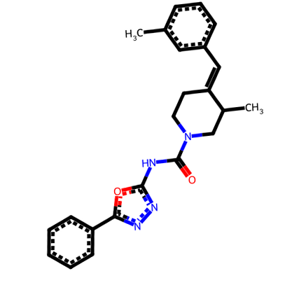 Cc1cccc(C=C2CCN(C(=O)Nc3nnc(-c4ccccc4)o3)CC2C)c1